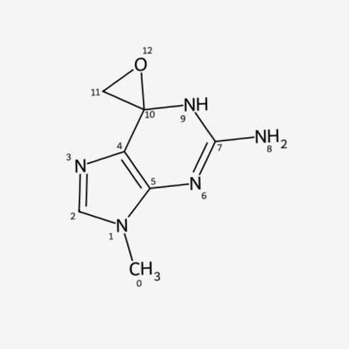 Cn1cnc2c1N=C(N)NC21CO1